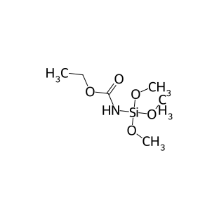 CCOC(=O)N[Si](OC)(OC)OC